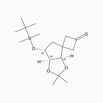 CC1(C)O[C@H]2[C@H](O[Si](C)(C)C(C)(C)C)CC3(CC(=O)C3)[C@H]2O1